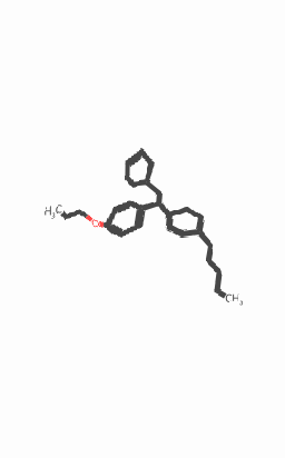 CCCCCC1CCC(C(CC2CC=CCC2)c2ccc(OCCC)cc2)CC1